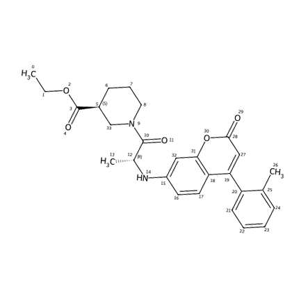 CCOC(=O)[C@H]1CCCN(C(=O)[C@@H](C)Nc2ccc3c(-c4ccccc4C)cc(=O)oc3c2)C1